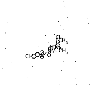 CN=c1sc(CN(C)C)c(CN2CCN(C(=O)CCS(=O)(=O)c3ccc4cc(Cl)ccc4c3)CC2)n1C